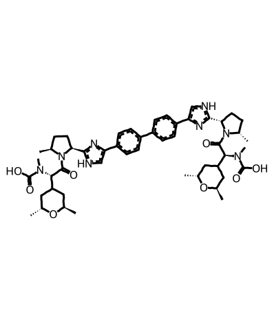 C[C@@H]1CC([C@@H](C(=O)N2[C@@H](C)CC[C@H]2c2nc(-c3ccc(-c4ccc(-c5c[nH]c([C@@H]6CC[C@H](C)N6C(=O)[C@H](C6C[C@@H](C)O[C@H](C)C6)N(C)C(=O)O)n5)cc4)cc3)c[nH]2)N(C)C(=O)O)C[C@@H](C)O1